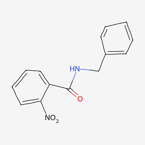 O=C(NCc1ccccc1)c1ccccc1[N+](=O)[O-]